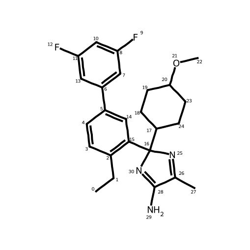 CCc1ccc(-c2cc(F)cc(F)c2)cc1C1(C2CCC(OC)CC2)N=C(C)C(N)=N1